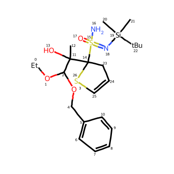 CCOC(OCc1ccccc1)C(C)(O)C1(S(N)(=O)=N[Si](C)(C)C(C)(C)C)CC=CS1